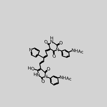 CC(=O)Nc1cccc(N2C(=O)NC(=O)C(=CC=C(C=Cc3c(O)[nH]c(=O)n(-c4cccc(NC(C)=O)c4)c3=O)c3ccncc3)C2=O)c1